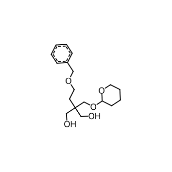 OCC(CO)(CCOCc1ccccc1)COC1CCCCO1